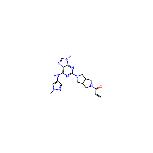 C=CC(=O)N1CC2CN(c3nc(Nc4cnn(C)c4)c4ncn(C)c4n3)CC2C1